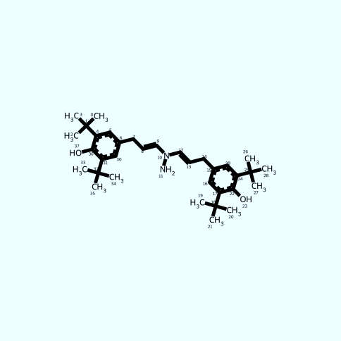 CC(C)(C)c1cc(CC=CN(N)C=CCc2cc(C(C)(C)C)c(O)c(C(C)(C)C)c2)cc(C(C)(C)C)c1O